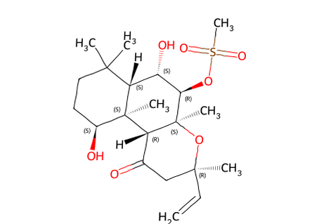 C=C[C@@]1(C)CC(=O)[C@H]2[C@](C)(O1)[C@H](OS(C)(=O)=O)[C@@H](O)[C@H]1C(C)(C)CC[C@H](O)[C@@]12C